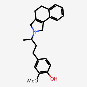 COc1cc(CC[C@@H](C)N2CC3=C(C2)c2ccccc2CC3)ccc1O